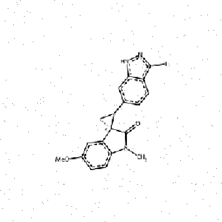 COc1ccc2c(c1)[C@]1(CC1c1ccc3c(I)n[nH]c3c1)C(=O)N2C